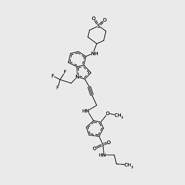 CCCNS(=O)(=O)c1ccc(NCC#Cc2cc3c(NC4CCS(=O)(=O)CC4)cccc3n2CC(F)(F)F)c(OC)c1